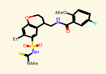 CCc1cc2c(cc1S(=O)(=O)NC(=S)NC)C(CNC(=O)c1cc(F)ccc1OC)CCO2